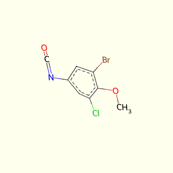 COc1c(Cl)cc(N=C=O)cc1Br